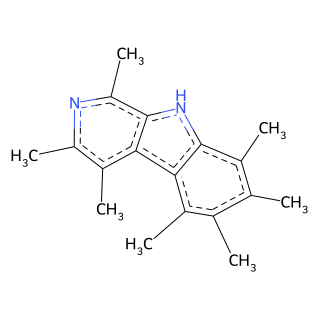 Cc1nc(C)c2[nH]c3c(C)c(C)c(C)c(C)c3c2c1C